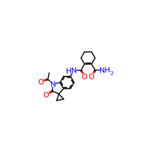 CC(=O)N1C(=O)C2(CC2)c2ccc(NC(=O)C3=C(C(N)=O)CCCC3)cc21